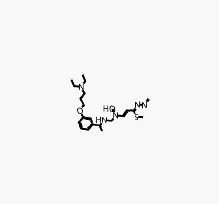 C=N/N=C(/C=C/N(O)CNC(C)c1cccc(OCCCN(CC)CC)c1)SC